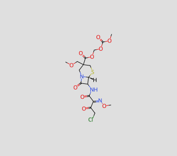 COCC1(C(=O)OCOC(=O)OC)CS[C@@H]2C(NC(=O)C(=NOC)C(=O)CCl)C(=O)N2C1